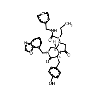 CCCN(C(=O)NCc1ccccc1)N1CC(=O)N2[C@@H](Cc3ccc(O)cc3)C(=O)N(Cc3cccc4ncoc34)C[C@@H]21